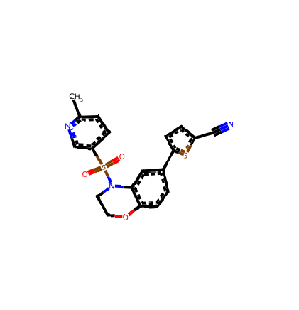 Cc1ccc(S(=O)(=O)N2CCOc3ccc(-c4ccc(C#N)s4)cc32)cn1